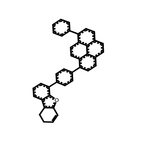 C1=Cc2oc3c(-c4ccc(-c5ccc6ccc7ccc(-c8ccccc8)c8ccc5c6c78)cc4)cccc3c2CC1